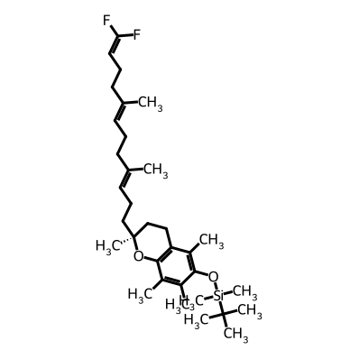 C/C(=C\CC/C(C)=C/CC[C@@]1(C)CCc2c(C)c(O[Si](C)(C)C(C)(C)C)c(C)c(C)c2O1)CCC=C(F)F